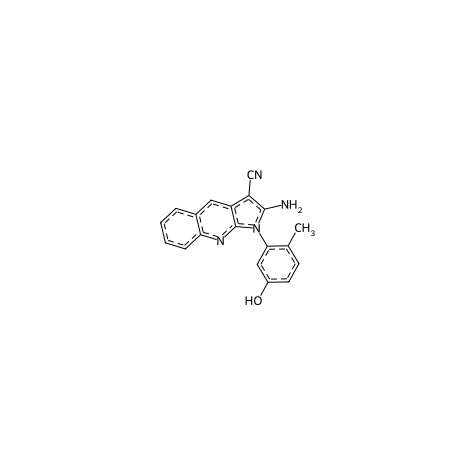 Cc1ccc(O)cc1-n1c(N)c(C#N)c2cc3ccccc3nc21